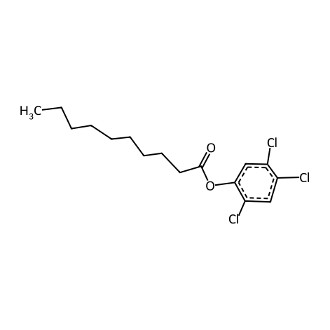 CCCCCCCCCC(=O)Oc1cc(Cl)c(Cl)cc1Cl